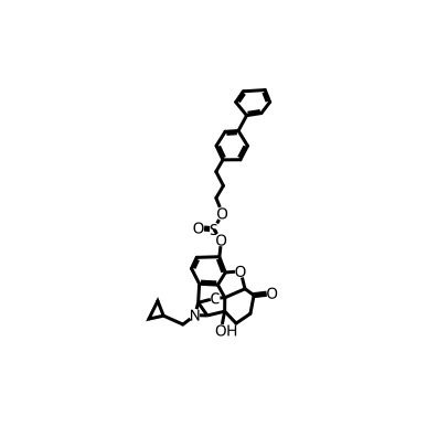 O=C1CCC2(O)C3N(CC4CC4)C34CC23c2c4ccc(OS(=O)OCCCc4ccc(-c5ccccc5)cc4)c2OC13